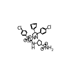 NS(=O)(=O)[C@@H]1CC[C@H](N/C(=N/S(=O)(=O)c2ccc(Cl)cc2)N2C[C@@H](c3ccccc3)C(c3ccc(Cl)cc3)=N2)C1